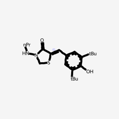 CCCNN1CS/C(=C\c2cc(C(C)(C)C)c(O)c(C(C)(C)C)c2)C1=O